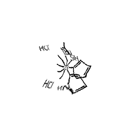 C[SiH](C)[Zr]([CH3])([CH3])([CH3])([CH3])([C]1=CC=CC1)([c]1ccc[nH]1)[C](C)(C)C.Cl.Cl